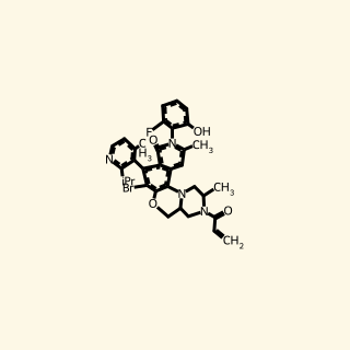 C=CC(=O)N1CC2COc3c(Br)c(-c4c(C)ccnc4C(C)C)c4c(=O)n(-c5c(O)cccc5F)c(C)cc4c3N2CC1C